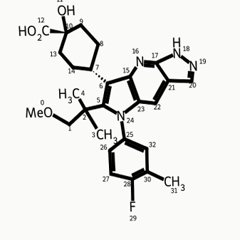 COCC(C)(C)c1c([C@H]2CC[C@](O)(C(=O)O)CC2)c2nc3[nH]ncc3cc2n1-c1ccc(F)c(C)c1